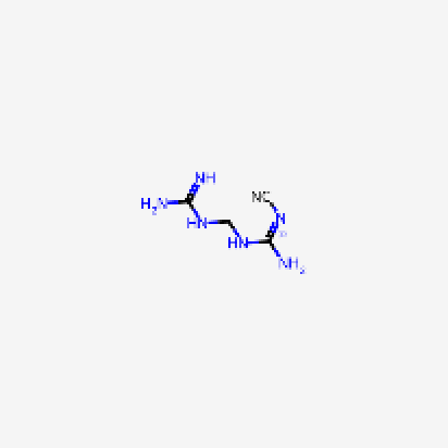 N#C/N=C(/N)NCNC(=N)N